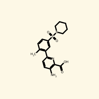 Cc1ccc(S(=O)(=O)N2CCCCC2)cc1-c1ccc(N)c(C(=O)O)n1